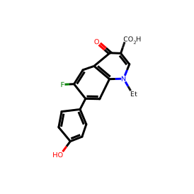 CCn1cc(C(=O)O)c(=O)c2cc(F)c(-c3ccc(O)cc3)cc21